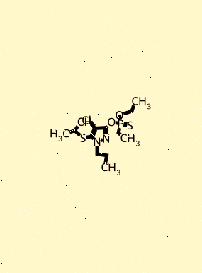 CCCn1nc(OP(=S)(CC)OCC)c(Cl)c1SC(C)C